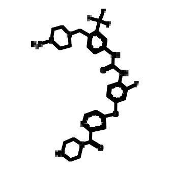 CN1CCN(Cc2ccc(NC(=O)Nc3ccc(Oc4ccnc(C(=O)N5CCNCC5)c4)cc3F)cc2C(F)(F)F)CC1